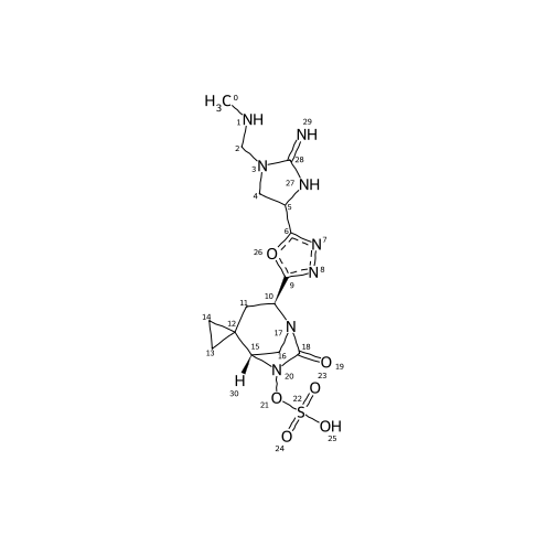 CNCN1CC(c2nnc([C@@H]3CC4(CC4)[C@@H]4CN3C(=O)N4OS(=O)(=O)O)o2)NC1=N